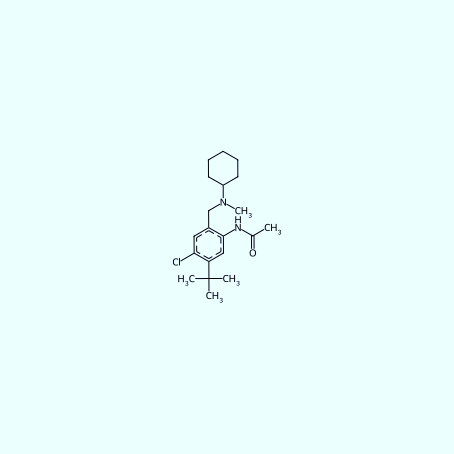 CC(=O)Nc1cc(C(C)(C)C)c(Cl)cc1CN(C)C1CCCCC1